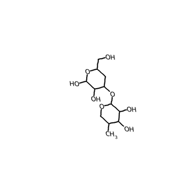 CC1COC(OC2CC(CO)OC(O)C2O)C(O)C1O